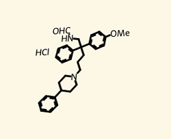 COc1ccc(C(CCCN2CCC(c3ccccc3)CC2)(CNC=O)c2ccccc2)cc1.Cl